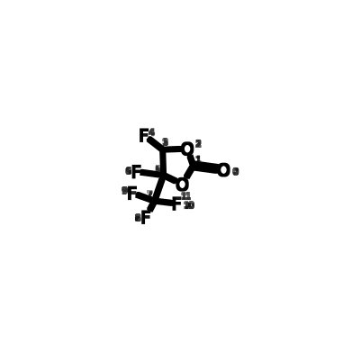 O=C1OC(F)C(F)(C(F)(F)F)O1